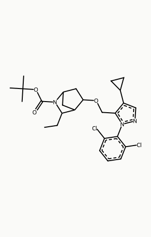 CCC1C2CC(CC2OCc2c(C3CC3)cnn2-c2c(Cl)cccc2Cl)N1C(=O)OC(C)(C)C